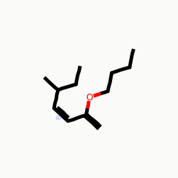 C=C(/C=C\C(C)CC)OCCCC